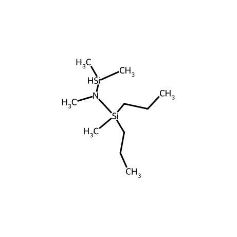 CCC[Si](C)(CCC)N(C)[SiH](C)C